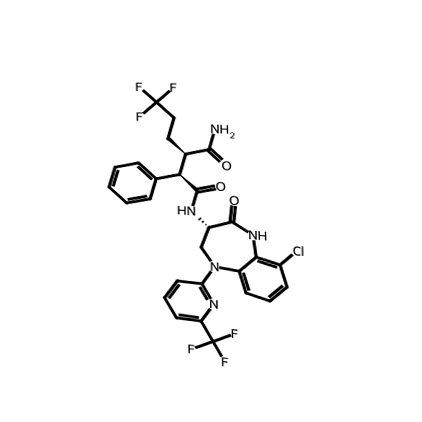 NC(=O)[C@H](CCC(F)(F)F)[C@@H](C(=O)N[C@H]1CN(c2cccc(C(F)(F)F)n2)c2cccc(Cl)c2NC1=O)c1ccccc1